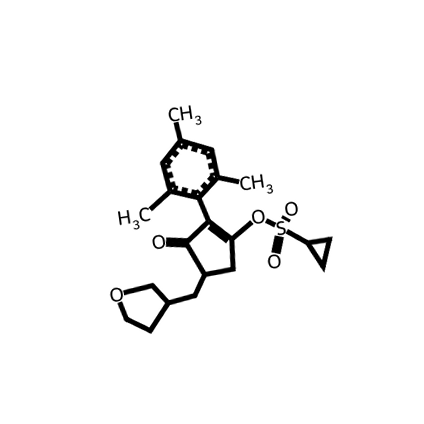 Cc1cc(C)c(C2=C(OS(=O)(=O)C3CC3)CC(CC3CCOC3)C2=O)c(C)c1